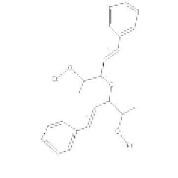 CCOC(C)C(/C=C/c1ccccc1)OC(/C=C/c1ccccc1)C(C)OCC